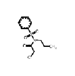 CCCN(C(=O)CCl)S(=O)(=O)c1ccccc1